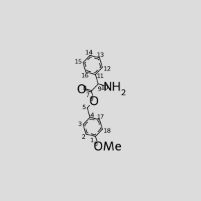 COc1ccc(COC(=O)C(N)c2ccccc2)cc1